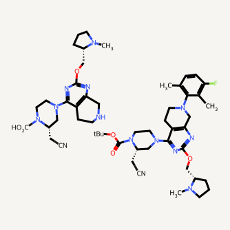 CN1CCC[C@H]1COc1nc2c(c(N3CCN(C(=O)O)[C@@H](CC#N)C3)n1)CCNC2.Cc1ccc(F)c(C)c1N1CCc2c(nc(OC[C@@H]3CCCN3C)nc2N2CCN(C(=O)OC(C)(C)C)[C@@H](CC#N)C2)C1